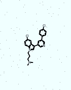 CN(C)CCCn1cc(-c2cncc(-c3ccc(Cl)cc3)c2)c2cc(Cl)ccc21